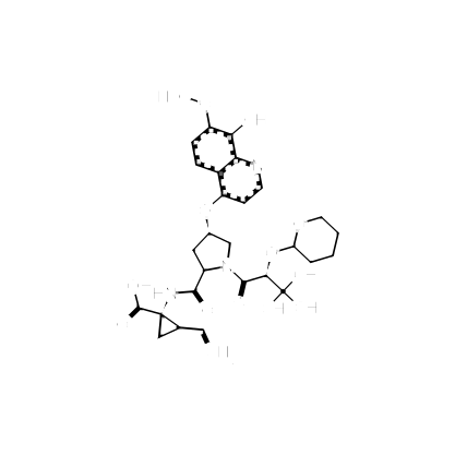 C=CC1C[C@]1(NC(=O)C1C[C@@H](Oc2ccnc3c(C)c(OC)ccc23)CN1C(=O)[C@@H](OC1CCCCO1)C(C)(C)C)C(=O)O